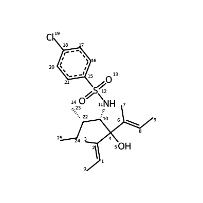 C/C=C(\C)C(O)(/C(C)=C/C)[C@@H](NS(=O)(=O)c1ccc(Cl)cc1)[C@@H](C)CC